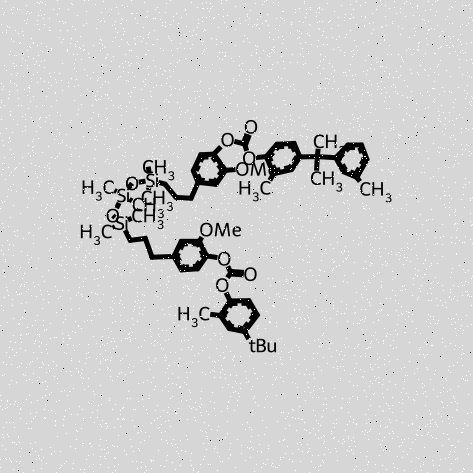 COc1cc(CCC[Si](C)(C)O[Si](C)(C)O[Si](C)(C)CCCc2ccc(OC(=O)Oc3ccc(C(C)(C)c4cccc(C)c4)cc3C)c(OC)c2)ccc1OC(=O)Oc1ccc(C(C)(C)C)cc1C